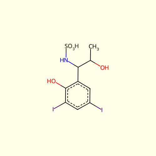 CC(O)C(NS(=O)(=O)O)c1cc(I)cc(I)c1O